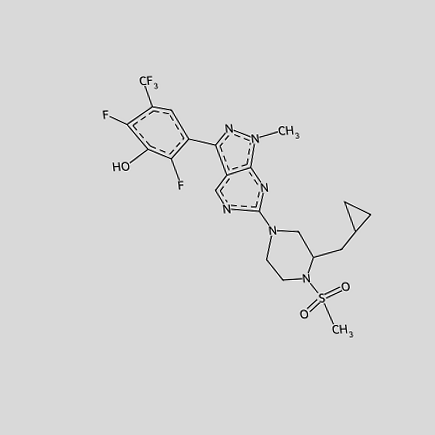 Cn1nc(-c2cc(C(F)(F)F)c(F)c(O)c2F)c2cnc(N3CCN(S(C)(=O)=O)C(CC4CC4)C3)nc21